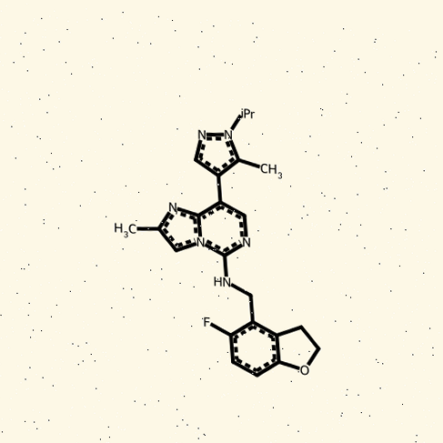 Cc1cn2c(NCc3c(F)ccc4c3CCO4)ncc(-c3cnn(C(C)C)c3C)c2n1